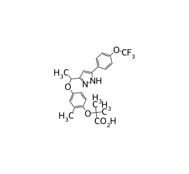 Cc1cc(OC(C)c2cc(-c3ccc(OC(F)(F)F)cc3)[nH]n2)ccc1OC(C)(C)C(=O)O